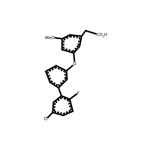 COc1cc(CC(=O)O)cc(Oc2cccc(-c3cc(Cl)ccc3F)c2)c1